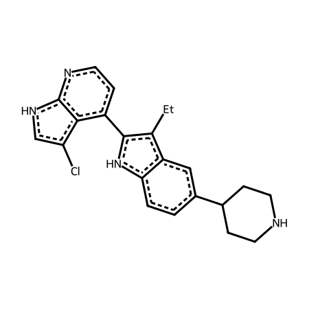 CCc1c(-c2ccnc3[nH]cc(Cl)c23)[nH]c2ccc(C3CCNCC3)cc12